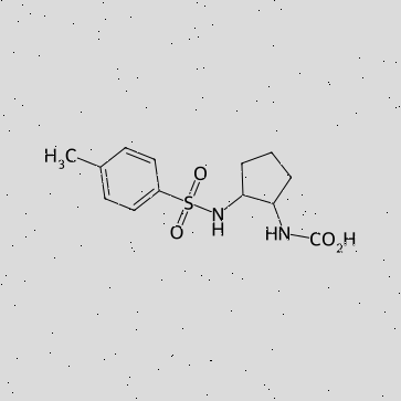 Cc1ccc(S(=O)(=O)NC2CCCC2NC(=O)O)cc1